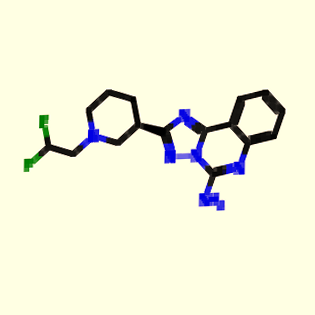 Nc1nc2ccccc2c2nc([C@@H]3CCCN(CC(F)F)C3)nn12